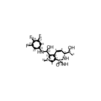 C[C@H](O)[C@H]1C=Cc2c(cn(C)c2C(O)Nc2cc(F)c(F)c(F)c2)S(=N)(=O)N1